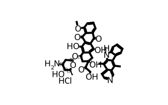 COc1cccc2c1C(=O)c1c(O)c3c(c(O)c1C2=O)C[C@@](O)(C(=O)CO)C[C@@H]3O[C@H]1C[C@H](N)[C@H](O)[C@H](C)O1.Cc1c2ccncc2c(C)c2c1[nH]c1ccccc12.Cl